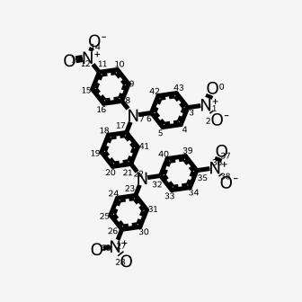 O=[N+]([O-])c1ccc(N(c2ccc([N+](=O)[O-])cc2)c2cccc(N(c3ccc([N+](=O)[O-])cc3)c3ccc([N+](=O)[O-])cc3)c2)cc1